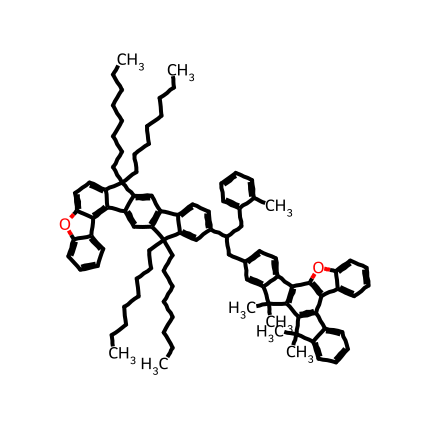 CCCCCCCCC1(CCCCCCCC)c2cc(C(Cc3ccc4c(c3)C(C)(C)c3c5c(c6c(oc7ccccc76)c3-4)-c3ccccc3C5(C)C)Cc3ccccc3C)ccc2-c2cc3c(cc21)-c1c(ccc2oc4ccccc4c12)C3(CCCCCCCC)CCCCCCCC